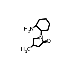 CC1CC(=O)N(C2CCCCC2N)C1